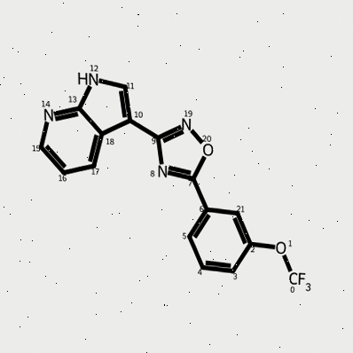 FC(F)(F)Oc1cccc(-c2nc(-c3c[nH]c4ncccc34)no2)c1